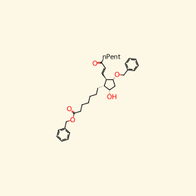 CCCCCC(=O)/C=C/[C@@H]1[C@@H](CCCCCCC(=O)OCc2ccccc2)[C@@H](O)C[C@H]1OCc1ccccc1